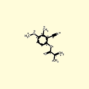 C=C(C)C(=O)Oc1ccc(OC)c(C)c1C#N